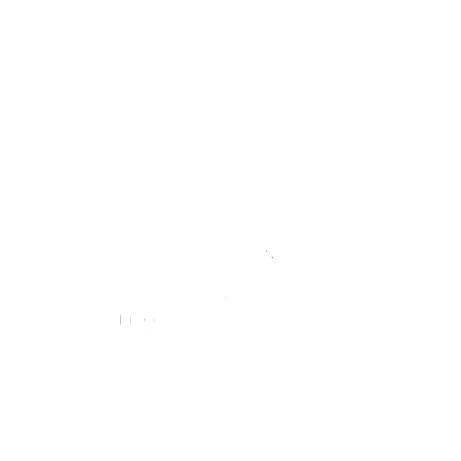 CCOC(=O)C1CC12CCN(Cc1ccccc1)C2C